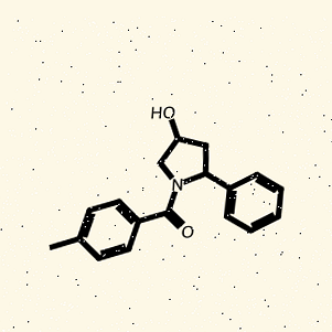 Cc1ccc(C(=O)N2CC(O)CC2c2ccccc2)cc1